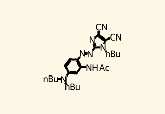 CCCCN(CCCC)c1ccc(N=Nc2nc(C#N)c(C#N)n2CCCC)c(NC(C)=O)c1